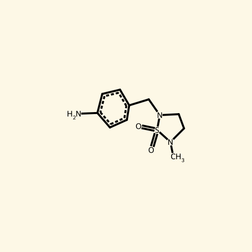 CN1CCN(Cc2ccc(N)cc2)S1(=O)=O